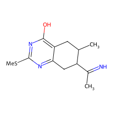 CSc1nc(O)c2c(n1)CC(C(C)=N)C(C)C2